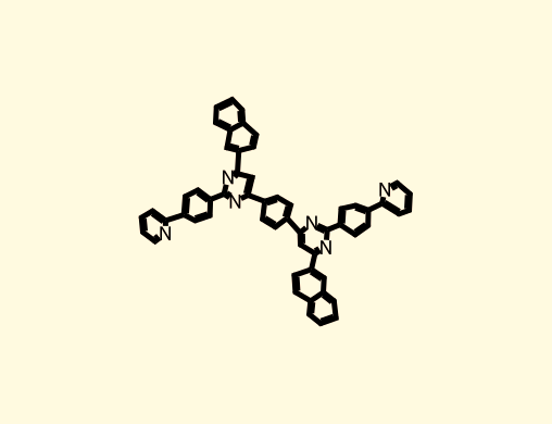 c1ccc(-c2ccc(-c3nc(-c4ccc(-c5cc(-c6ccc7ccccc7c6)nc(-c6ccc(-c7ccccn7)cc6)n5)cc4)cc(-c4ccc5ccccc5c4)n3)cc2)nc1